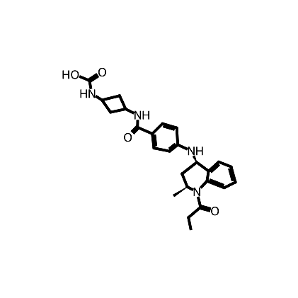 CCC(=O)N1c2ccccc2[C@H](Nc2ccc(C(=O)NC3CC(NC(=O)O)C3)cc2)C[C@@H]1C